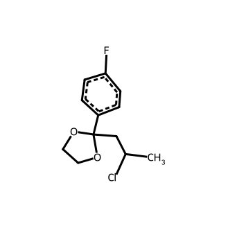 CC(Cl)CC1(c2ccc(F)cc2)OCCO1